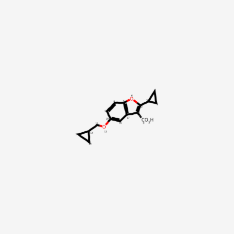 O=C(O)c1c(C2CC2)oc2ccc(OCC3CC3)cc12